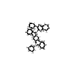 c1ccc(-c2nc3ccccc3nc2-n2c3ccccc3c3cc4c(cc32)c2ccccc2n4-c2ccccc2)cc1